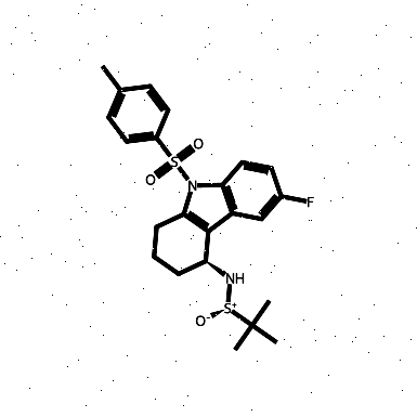 Cc1ccc(S(=O)(=O)n2c3c(c4cc(F)ccc42)[C@@H](N[S@+]([O-])C(C)(C)C)CCC3)cc1